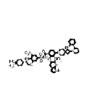 CC(C)c1ccccc1[C@H]1CCCN1C1CC2(CCN(c3ccc(C(=O)NS(=O)(=O)c4cc5c(c([N+](=O)[O-])c4)N[C@@H](C4CCC(C)(O)CC4)CO5)c(Oc4cc5cc[nH]c5nc4[N+](=O)[O-])c3)CC2)C1